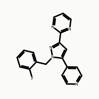 Fc1ccccc1Cn1nc(-c2ncccn2)cc1-c1ccncc1